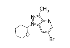 Cc1nn(C2CCCCO2)c2cc(Br)cnc12